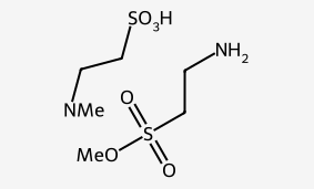 CNCCS(=O)(=O)O.COS(=O)(=O)CCN